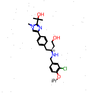 CC(C)Oc1ccc(CN[C@H](CCO)Cc2ccc(-c3cn(C)c(C(C)(C)O)n3)cc2)cc1Cl